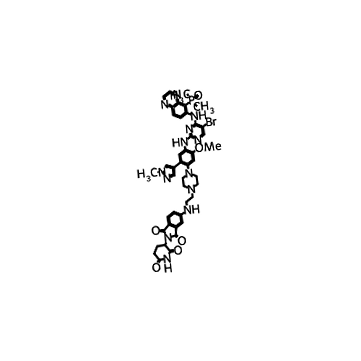 COc1cc(N2CCN(CCNc3ccc4c(c3)C(=O)N(C3CCC(=O)NC3=O)C4=O)CC2)c(-c2cnn(C)c2)cc1Nc1ncc(Br)c(Nc2ccc3nccnc3c2P(C)(C)=O)n1